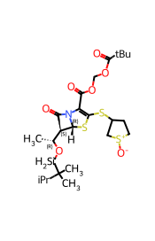 CC(C)C(C)(C)[SiH2]O[C@H](C)[C@H]1C(=O)N2C(C(=O)OCOC(=O)C(C)(C)C)=C(SC3CC[S+]([O-])C3)S[C@H]12